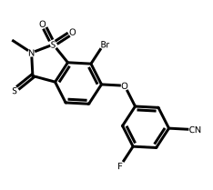 CN1C(=S)c2ccc(Oc3cc(F)cc(C#N)c3)c(Br)c2S1(=O)=O